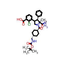 CC(C)(C)OC(=O)NC[C@H]1CC[C@H](C(=O)N2CC(c3cccc(C(=O)O)c3Cl)[C@@H](c3ccccc3)[C@@]2(C)C(N)=O)CC1